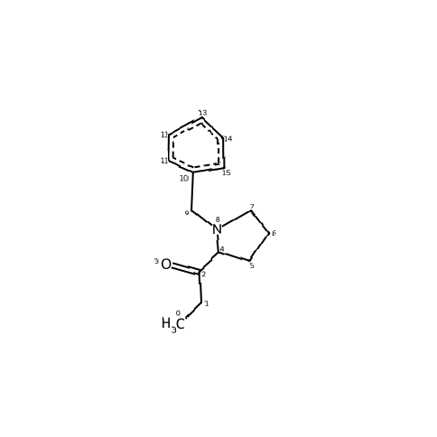 CCC(=O)C1CCCN1Cc1ccccc1